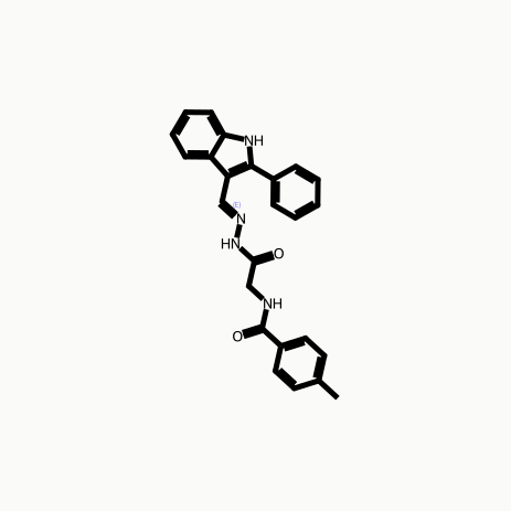 Cc1ccc(C(=O)NCC(=O)N/N=C/c2c(-c3ccccc3)[nH]c3ccccc23)cc1